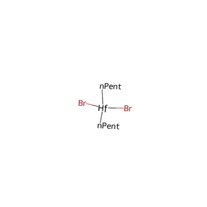 CCCC[CH2][Hf]([Br])([Br])[CH2]CCCC